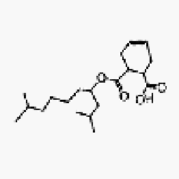 CC(C)CCCCC(CC(C)C)OC(=O)C1CC=CCC1C(=O)O